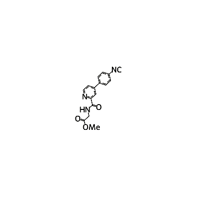 [C-]#[N+]c1ccc(-c2ccnc(C(=O)NCC(=O)OC)c2)cc1